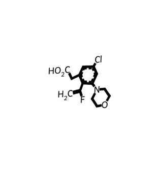 C=C(F)c1c(CC(=O)O)cc(Cl)cc1N1CCOCC1